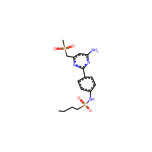 CCCCS(=O)(=O)Nc1ccc(-c2nc(N)cc(CS(C)(=O)=O)n2)cc1